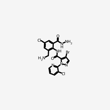 NCc1cc(Cl)cc(C(=O)NN)c1NC(=O)c1c(Br)cnn1-c1ncccc1Cl